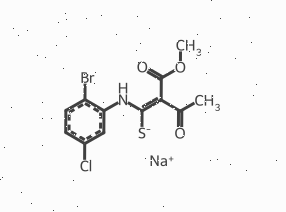 COC(=O)/C(C(C)=O)=C(/[S-])Nc1cc(Cl)ccc1Br.[Na+]